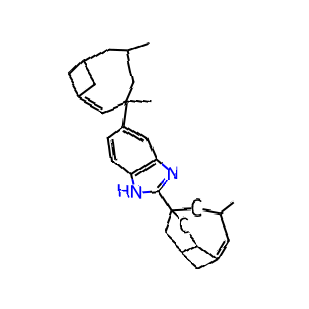 CC1C=C2CC3CC(c4nc5cc(C6(C)C=C7CC(C7)CC(C)C6)ccc5[nH]4)(C1)CC23